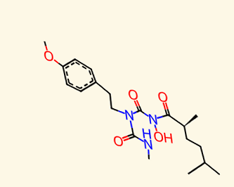 CNC(=O)N(CCc1ccc(OC)cc1)C(=O)N(O)C(=O)[C@@H](C)CCC(C)C